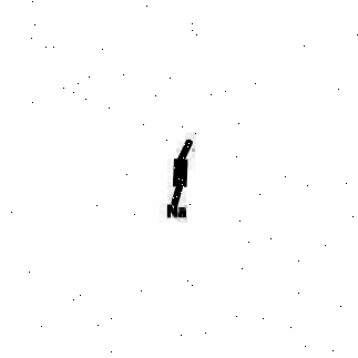 CC#[C][Na]